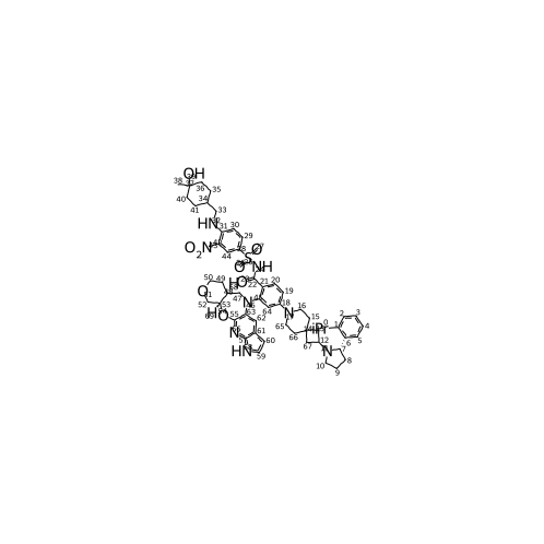 CC(C)c1ccccc1[C@@H]1CCCN1C1CC2(CCN(c3ccc(C(=O)NS(=O)(=O)c4ccc(NCC5CCC(C)(O)CC5)c([N+](=O)[O-])c4)c(N4C[C@@H]5CCOC[C@H]5Oc5nc6[nH]ccc6cc54)c3)CC2)C1